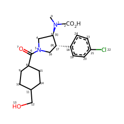 CN(C(=O)O)[C@@H]1CN(C(=O)C2CCC(CO)CC2)C[C@H]1c1ccc(Cl)cc1